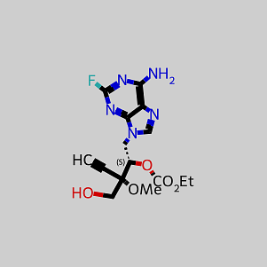 C#CC(CO)(OC)[C@H](Cn1cnc2c(N)nc(F)nc21)OC(=O)OCC